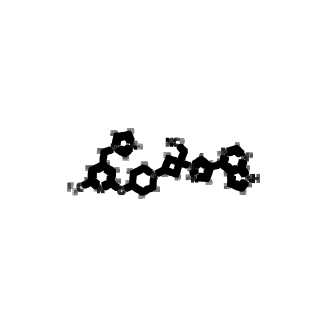 N#CCC1(n2cc(-c3ncnc4[nH]ccc34)cn2)CC(N2CCC(Oc3cc(Cn4ccnc4)cc(C(F)(F)F)n3)CC2)C1